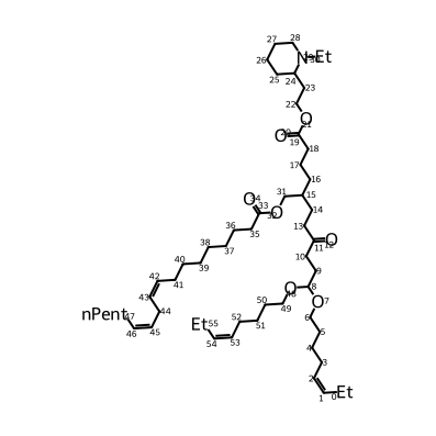 CC/C=C\CCCCOC(CCC(=O)CCC(CCCC(=O)OCCC1CCCCN1CC)COC(=O)CCCCCCC/C=C\C/C=C\CCCCC)OCCCC/C=C\CC